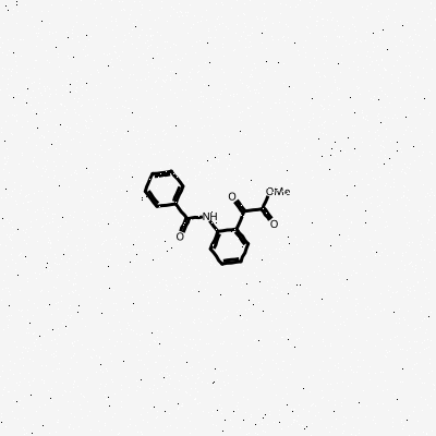 COC(=O)C(=O)c1ccccc1NC(=O)c1ccccc1